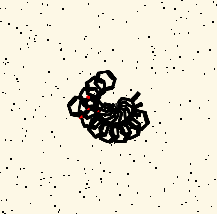 C=C([CH2][Ni]([CH2]C(=C)c1ccccc1)([CH2]C(=C)c1ccccc1)([CH2]C(=C)c1ccccc1)([CH2]C(=C)c1ccccc1)([CH2]C(=C)c1ccccc1)([CH2]C(=C)c1ccccc1)([CH2]C(=C)c1ccccc1)([CH2]C(=C)c1ccccc1)([CH2]C(=C)c1ccccc1)[CH2]C(=C)c1ccccc1)c1ccccc1